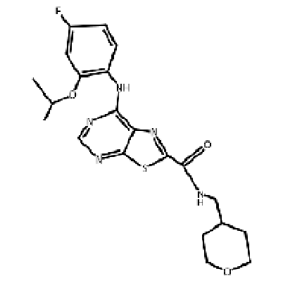 CC(C)Oc1cc(F)ccc1Nc1ncnc2sc(C(=O)NCC3CCOCC3)nc12